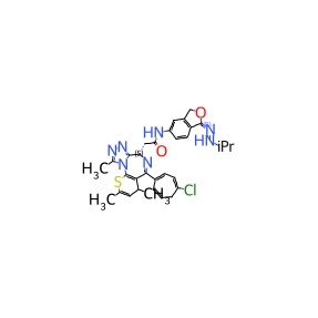 CC1=CC(C)C2=C(S1)n1c(C)nnc1[C@H](CC(=O)Nc1ccc3c(c1)CO/C3=N/NC(C)C)N=C2C1=CC=C(Cl)CC=C1